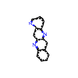 c1ccc2nc3cc4ncccc4nc3cc2c1